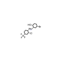 Oc1ccc(Br)cc1/C=N/c1ccc(C(F)(F)F)cc1Cl